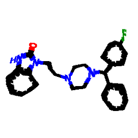 O=c1[nH]c2ccccc2n1CCN1CCN(C(c2ccccc2)c2ccc(F)cc2)CC1